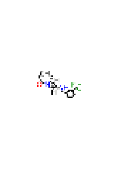 C=CC1OC1N1C[C@@H]2[C@H](C1)[C@H]2NCc1cccc(C(F)(F)F)c1